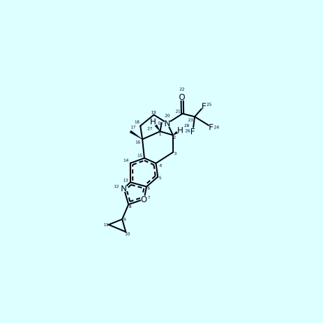 C[C@@H]1[C@H]2Cc3cc4oc(C5CC5)nc4cc3[C@]1(C)CCN2C(=O)C(F)(F)F